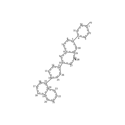 Cc1ccc(-c2ccc3cc(-c4ccc(-c5cccc6ccccc56)cc4)cnc3c2)cc1